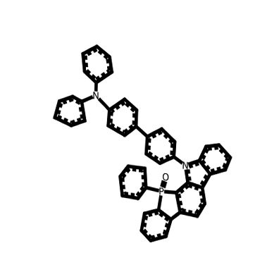 O=P1(c2ccccc2)c2ccccc2-c2ccc3c4ccccc4n(-c4ccc(-c5ccc(N(c6ccccc6)c6ccccc6)cc5)cc4)c3c21